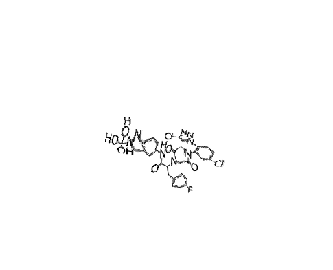 O=C(Nc1ccc2nn(C(O)(O)O)cc2c1)C(Cc1ccc(F)cc1)N1CC(=O)N(c2cc(Cl)ccc2-n2cc(Cl)nn2)CC1=O